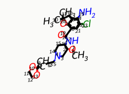 COC1CN(CCCC2(C)OCCO2)CCC1NC(=O)c1cc(Cl)c(N)c2c1OC(C)(C)C2